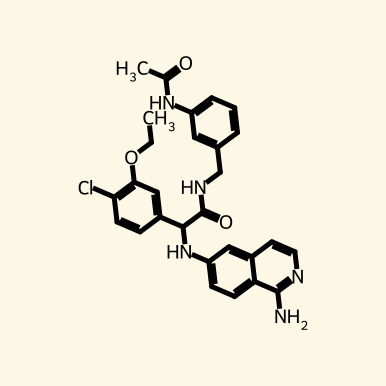 CCOc1cc(C(Nc2ccc3c(N)nccc3c2)C(=O)NCc2cccc(NC(C)=O)c2)ccc1Cl